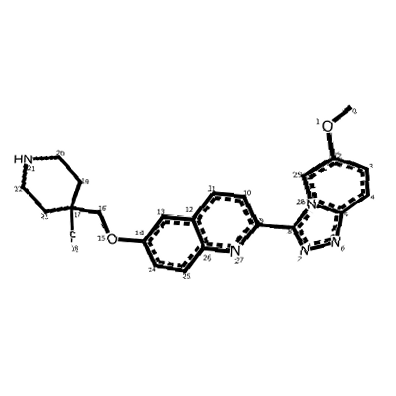 COc1ccc2nnc(-c3ccc4cc(OCC5(F)CCNCC5)ccc4n3)n2c1